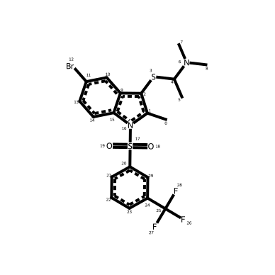 Cc1c(SC(C)N(C)C)c2cc(Br)ccc2n1S(=O)(=O)c1cccc(C(F)(F)F)c1